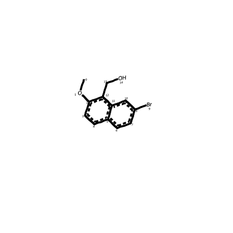 COc1ccc2ccc(Br)cc2c1CO